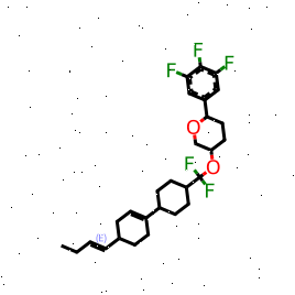 CC/C=C/C1CC=C(C2CCC(C(F)(F)OC3CCC(c4cc(F)c(F)c(F)c4)OC3)CC2)CC1